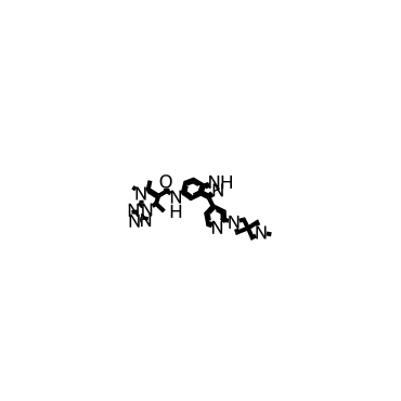 CC1=C(C(=O)Nc2ccc3[nH]nc(-c4ccnc(N5CC6(CN(C)C6)C5)c4)c3c2)C(C)n2nnnc2N1C